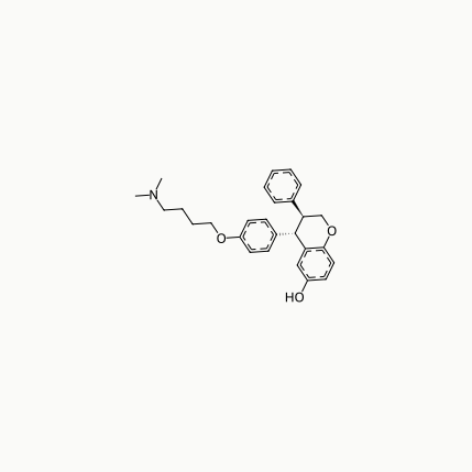 CN(C)CCCCOc1ccc([C@H]2c3cc(O)ccc3OC[C@@H]2c2ccccc2)cc1